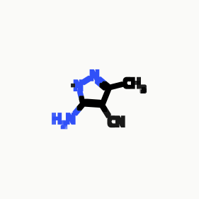 CC1=N[N]C(N)=C1C#N